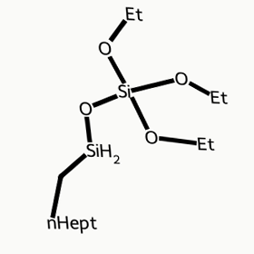 CCCCCCCC[SiH2]O[Si](OCC)(OCC)OCC